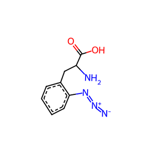 [N-]=[N+]=Nc1ccccc1CC(N)C(=O)O